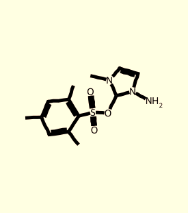 Cc1cc(C)c(S(=O)(=O)OC2N(C)C=CN2N)c(C)c1